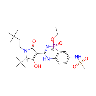 CCO[P@]1(=O)N=C(C2=C(O)[C@H](C(C)(C)C)N(CCC(C)(C)C)C2=O)Nc2ccc(NS(C)(=O)=O)cc21